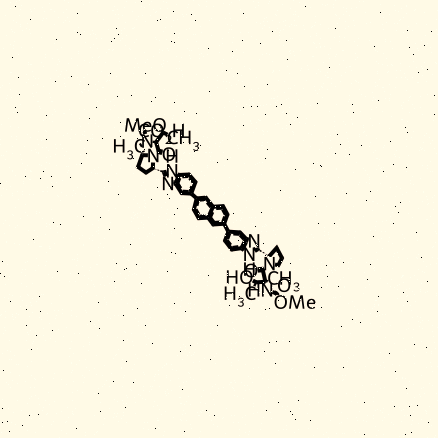 COC(=O)N[C@](C)(C(=O)N1CCC[C@H]1c1nc2cc(-c3ccc4cc(-c5ccc6[nH]c([C@@H]7CCCN7C(=O)[C@H]([C@@H](C)OC)N(C)C(=O)O)nc6c5)ccc4c3)ccc2[nH]1)[C@@H](C)O